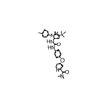 Cc1ccc(-n2nc(C(C)(C)C)cc2NC(=O)Nc2ccc(Oc3ccnc(C(=O)N(C)C)c3)cc2)cc1